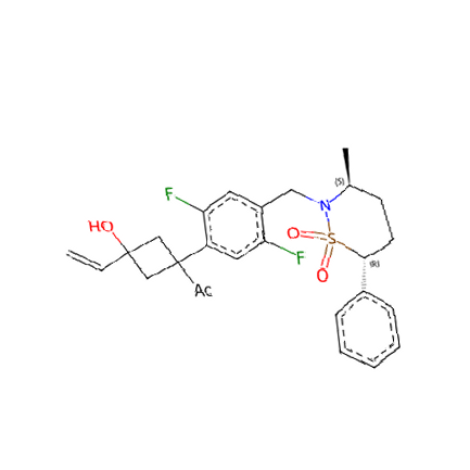 C=CC1(O)CC(C(C)=O)(c2cc(F)c(CN3[C@@H](C)CC[C@H](c4ccccc4)S3(=O)=O)cc2F)C1